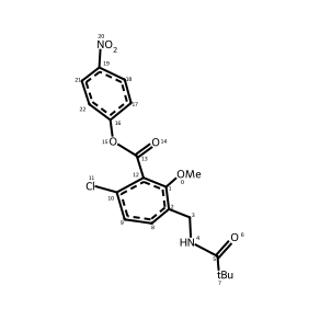 COc1c(CNC(=O)C(C)(C)C)ccc(Cl)c1C(=O)Oc1ccc([N+](=O)[O-])cc1